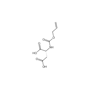 C=CCOC(=O)N[C@H](CC(=O)O)C(=O)O